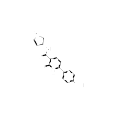 Cc1ccc(-c2ccc(C(=O)N[C@@H]3C=CS(=O)(=O)C3)c(=O)[nH]2)cc1